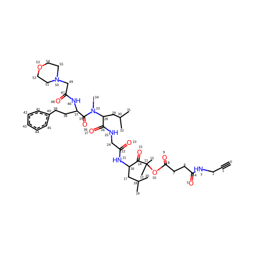 C#CCNC(=O)CCC(=O)OC(C)(C)C(=O)C(CC(C)C)NC(=O)CNC(=O)C(CC(C)C)N(I)C(=O)C(CCc1ccccc1)NC(=O)CN1CCOCC1